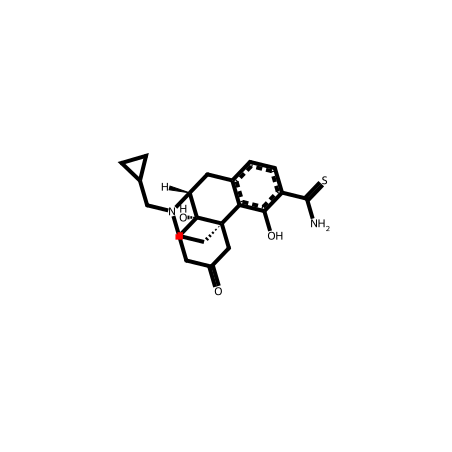 NC(=S)c1ccc2c(c1O)[C@]13CCN(CC4CC4)[C@H](C2)[C@]1(O)CCC(=O)C3